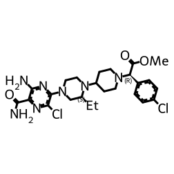 CC[C@H]1CN(c2nc(N)c(C(N)=O)nc2Cl)CCN1C1CCN([C@@H](C(=O)OC)c2ccc(Cl)cc2)CC1